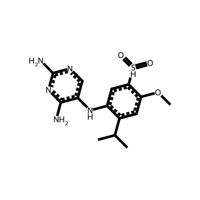 COc1cc(C(C)C)c(Nc2cnc(N)nc2N)cc1[SH](=O)=O